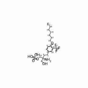 NC(CO)(CCc1ccc(OCCCCCCF)c(C(F)(F)F)c1)COP(=O)(O)O